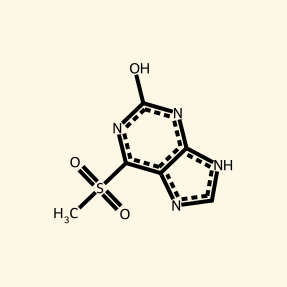 CS(=O)(=O)c1nc(O)nc2[nH]cnc12